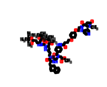 COC(=O)CN(CC(=O)N[C@@H](Cc1ccc2ccccc2c1)C(=O)NCCCC[C@H](NC(=O)N[C@@H](CCC(=O)OC(C)(C)C)C(=O)OC(C)(C)C)C(=O)OC(C)(C)C)C(=O)C1CCC(NC(=O)CCCOC2CCC(OCCNC(=O)[C@H]3CC(=O)N(C)[C@@H]3c3cccnc3)CC2)CC1